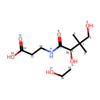 CC(C)(CO)[C@@H](O)C(=O)NCCC(=O)O.CCO